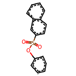 O=S(=O)(Oc1c[c]ccc1)c1ccc2ccccc2c1